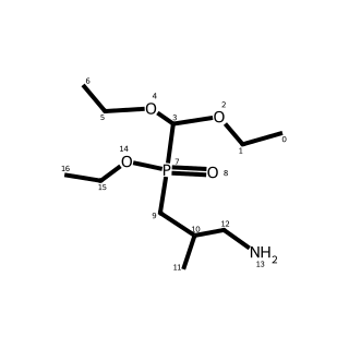 CCOC(OCC)P(=O)(CC(C)CN)OCC